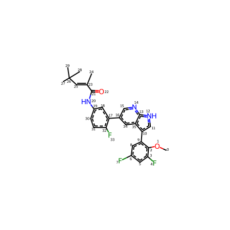 COc1c(F)cc(F)cc1-c1c[nH]c2ncc(-c3cc(NC(=O)C(C)=CC(C)(C)C)ccc3F)cc12